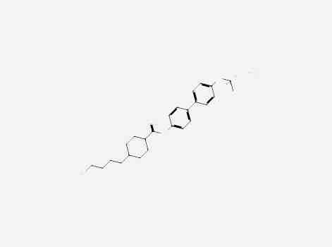 CCCCCC[C@@H](C)Oc1ccc(-c2ccc(OC(=O)C3CCC(CCCCC(C)CC)CC3)cc2)cc1